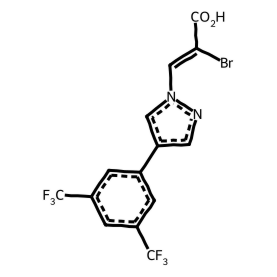 O=C(O)/C(Br)=C/n1cc(-c2cc(C(F)(F)F)cc(C(F)(F)F)c2)cn1